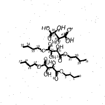 CCCCOC(=O)C(O)C(O)C(=O)OCCCC.CCCCOC(=O)C(O)C(O)C(=O)OCCCC.O=C(O)C(O)C(O)C(=O)O